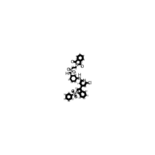 O=C1c2ccccc2C(=O)N1CCS(=O)(=O)NC1CCCC(Nc2cc(-c3cn(S(=O)(=O)c4ccccc4)c4ccccc34)cc(Cl)n2)C1